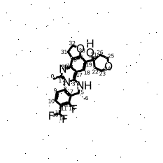 Cc1nc(N[C@H](C)c2cccc(C(F)F)c2F)c2cc(C3(O)CCOCC3)c3c(c2n1)CCO3